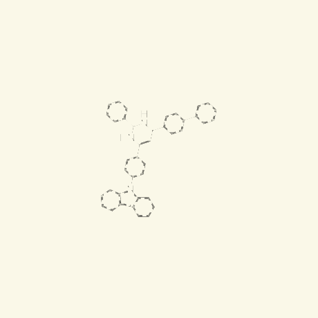 C1=C(c2ccc(-n3c4ccccc4c4ccccc43)cc2)NC(c2ccccc2)NC1c1ccc(-c2ccccc2)cc1